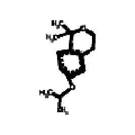 CC(C)Oc1ccc2c(c1)CCOC2(C)C